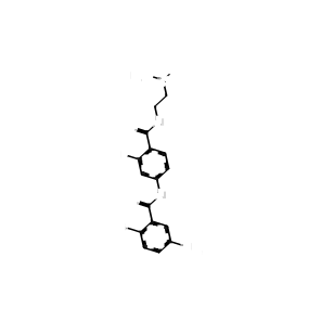 Cc1ccc(Cl)c(C(=O)Nc2ccc(C(=O)NCCN(C)C)c(F)c2)c1